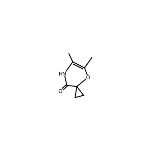 CC1=C(C)OC2(CC2)C(=O)N1